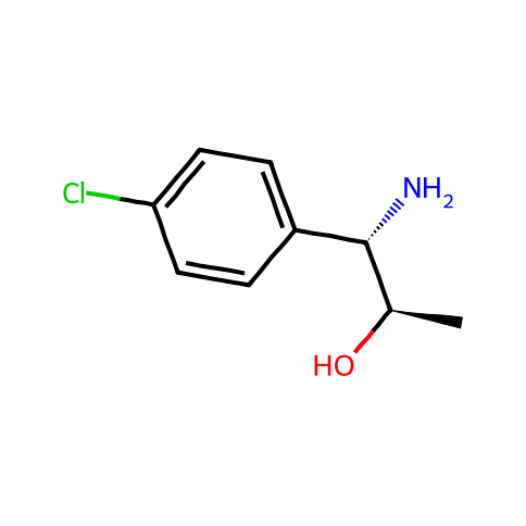 C[C@@H](O)[C@@H](N)c1ccc(Cl)cc1